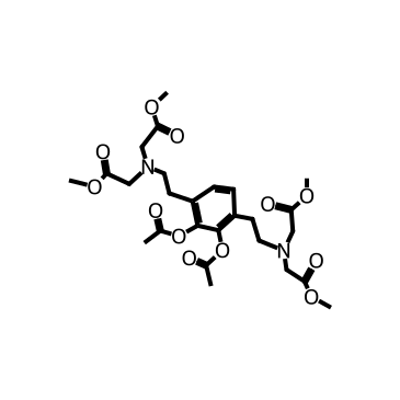 COC(=O)CN(CCc1ccc(CCN(CC(=O)OC)CC(=O)OC)c(OC(C)=O)c1OC(C)=O)CC(=O)OC